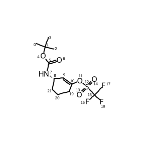 CC(C)(C)OC(=O)N[C@@H]1C=C(OS(=O)(=O)C(F)(F)F)CCC1